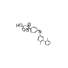 Cc1ccccc1-c1cc(N(C)c2ccc(S(=O)(=O)CC(=O)O)cc2)ccc1C